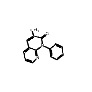 Cc1cc2cccnc2n(-c2ccccc2)c1=O